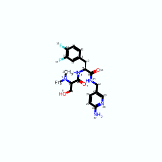 CCN(C)C(CO)C(=O)N[C@@H](Cc1ccc(F)c(F)c1)C(=O)NCc1ccc(N)nc1